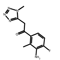 Cc1c(C(=O)Cc2nnnn2C)ccc(F)c1N